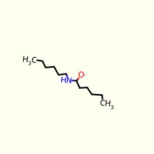 CCCCCCNC([O])CCCCC